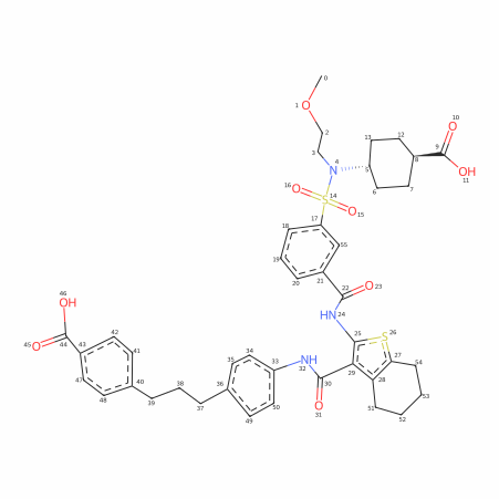 COCCN([C@H]1CC[C@H](C(=O)O)CC1)S(=O)(=O)c1cccc(C(=O)Nc2sc3c(c2C(=O)Nc2ccc(CCCc4ccc(C(=O)O)cc4)cc2)CCCC3)c1